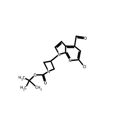 CC(C)(C)OC(=O)N1CC(n2ccc3c(C=O)cc(Cl)nc32)C1